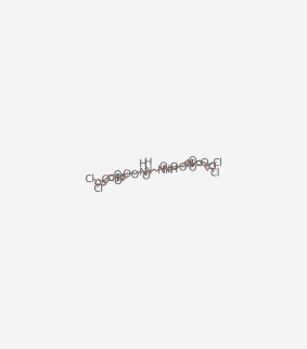 O=C(NCCCCNC(=O)NCCOCCO[C@H]1CCN(S(=O)(=O)c2ccc(O[C@@H]3CCc4c(Cl)cc(Cl)cc43)cc2)C1)NCCOCCO[C@H]1CCN(S(=O)(=O)c2ccc(O[C@@H]3CCc4c(Cl)cc(Cl)cc43)cc2)C1